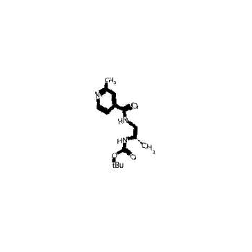 Cc1cc(C(=O)NC[C@H](C)NC(=O)OC(C)(C)C)ccn1